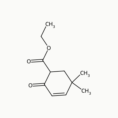 CCOC(=O)C1CC(C)(C)C=CC1=O